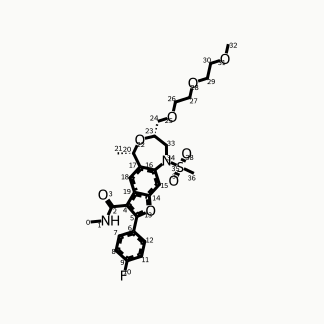 CNC(=O)c1c(-c2ccc(F)cc2)oc2cc3c(cc12)[C@H](C)O[C@H](COCCOCCOC)CN3S(C)(=O)=O